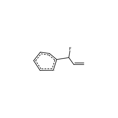 C=CC(F)c1[c]cccc1